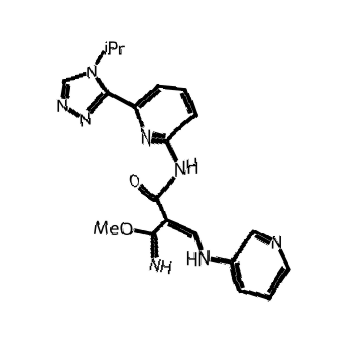 COC(=N)/C(=C\Nc1cccnc1)C(=O)Nc1cccc(-c2nncn2C(C)C)n1